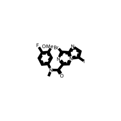 COc1cc(N(C)C(=O)c2cn3c(I)cnc3c(Br)n2)ccc1F